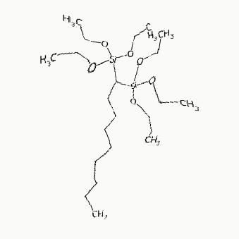 CCCCCCCCC([Si](OCC)(OCC)OCC)[Si](OCC)(OCC)OCC